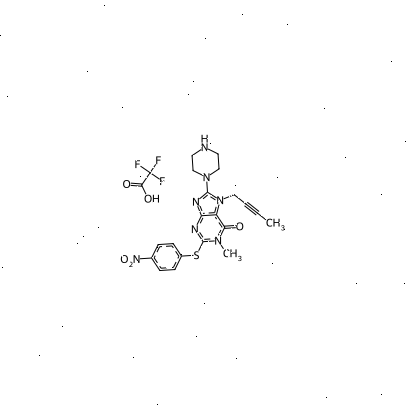 CC#CCn1c(N2CCNCC2)nc2nc(Sc3ccc([N+](=O)[O-])cc3)n(C)c(=O)c21.O=C(O)C(F)(F)F